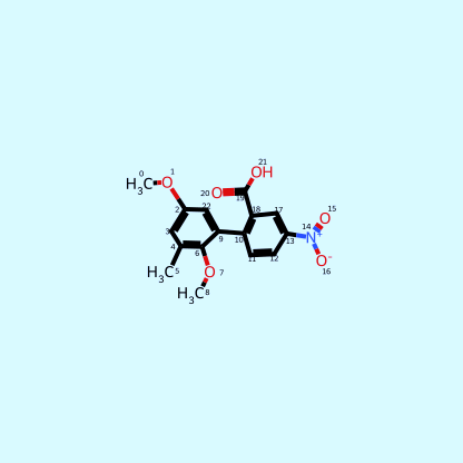 COc1cc(C)c(OC)c(-c2ccc([N+](=O)[O-])cc2C(=O)O)c1